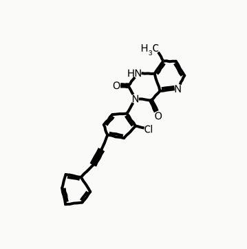 Cc1ccnc2c(=O)n(-c3ccc(C#Cc4ccccc4)cc3Cl)c(=O)[nH]c12